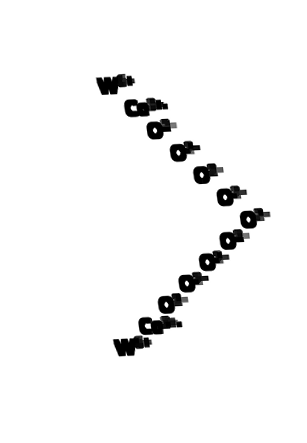 [Ce+3].[Ce+3].[O-2].[O-2].[O-2].[O-2].[O-2].[O-2].[O-2].[O-2].[O-2].[W+6].[W+6]